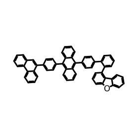 c1ccc(-c2cccc3oc4ccccc4c23)c(-c2ccc(-c3c4ccccc4c(-c4ccc(-c5cc6ccccc6c6ccccc56)cc4)c4ccccc34)cc2)c1